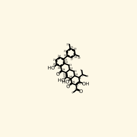 CC(=O)C1=C(O)C(C(C)C)C2CC3Cc4c(-c5cc(C)cc(C)c5)ccc(O)c4C(=O)C3=C(O)C2(O)C1=O